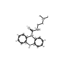 CN(C)CCNC(=O)N1c2ccccc2Sc2ccccc21